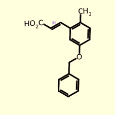 Cc1ccc(OCc2ccccc2)cc1/C=C/C(=O)O